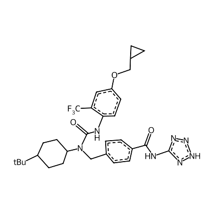 CC(C)(C)C1CCC(N(Cc2ccc(C(=O)Nc3nn[nH]n3)cc2)C(=O)Nc2ccc(OCC3CC3)cc2C(F)(F)F)CC1